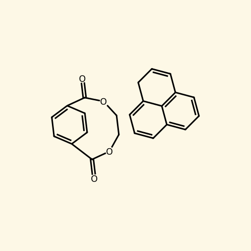 C1=Cc2cccc3cccc(c23)C1.O=C1OCCOC(=O)c2ccc1cc2